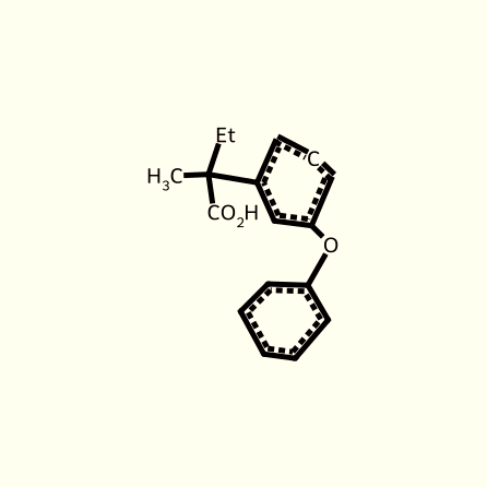 CCC(C)(C(=O)O)c1cccc(Oc2ccccc2)c1